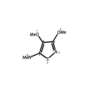 CNc1snc(OC)c1OC